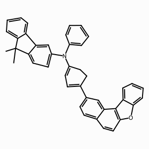 CC1(C)c2ccccc2-c2cc(N(C3=CC=C(c4ccc5ccc6oc7ccccc7c6c5c4)CC3)c3ccccc3)ccc21